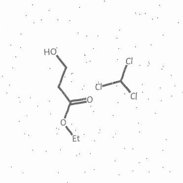 CCOC(=O)CCO.ClC(Cl)Cl